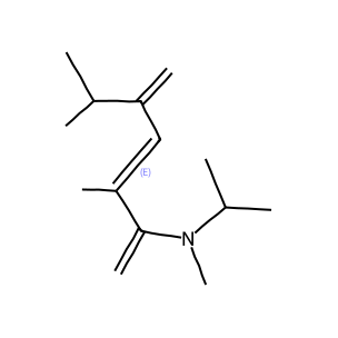 C=C(/C=C(\C)C(=C)N(C)C(C)C)C(C)C